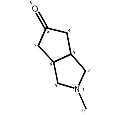 CN1CC2CC(=O)CC2C1